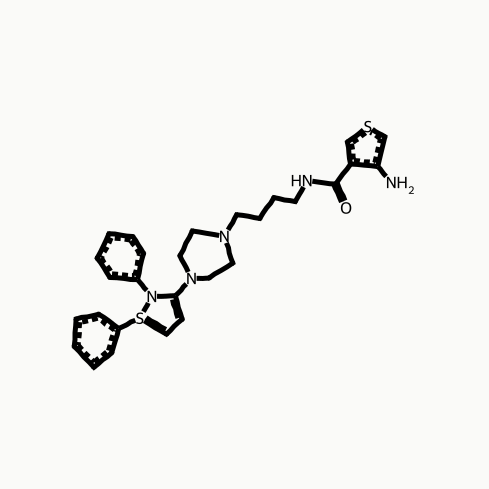 Nc1cscc1C(=O)NCCCCN1CCN(C2=CC=S(c3ccccc3)N2c2ccccc2)CC1